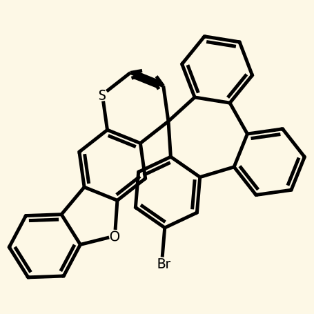 Brc1ccc2c(c1)-c1ccccc1-c1ccccc1C21c2ccccc2Sc2cc3c(cc21)oc1ccccc13